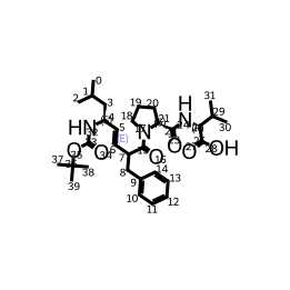 CC(C)C[C@@H](/C=C/C(Cc1ccccc1)C(=O)N1CCC[C@H]1C(=O)N[C@@H](C(=O)O)C(C)C)NC(=O)OC(C)(C)C